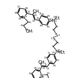 CCN(CCSSCCN(CC)c1ccc(/C=C(\C)c2cccc[n+]2CCO)cc1)c1ccc(/C=C(\C)c2cccc[n+]2CCO)cc1